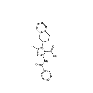 O=C(Nc1sc(F)c(C2CCc3ccccc3C2)c1C(=O)O)c1ccccc1